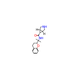 CC(C)(NC(=O)[C@H]1[C@@H]2CNC[C@@H]21)C1CCc2ccccc2O1